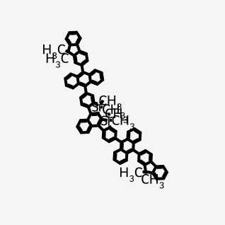 CC1(C)c2ccccc2-c2ccc(-c3c4ccccc4c(-c4ccc5c(c4)[Si](C)(C)c4c6c(c7ccccc7c4-5)-c4ccc(-c5c7ccccc7c(-c7ccc8c(c7)C(C)(C)c7ccccc7-8)c7ccccc57)cc4[Si]6(C)C)c4ccccc34)cc21